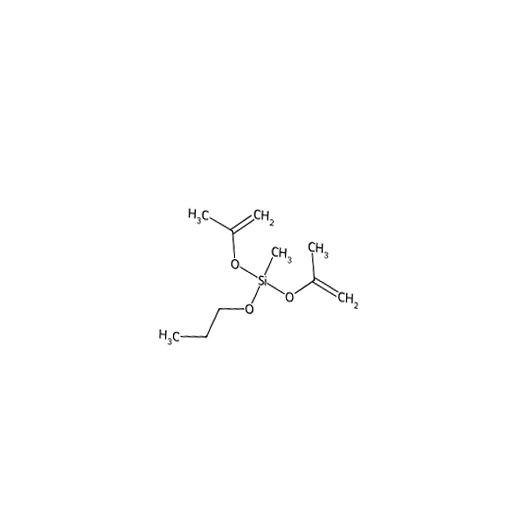 C=C(C)O[Si](C)(OCCC)OC(=C)C